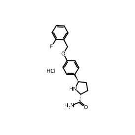 Cl.NC(=O)[C@H]1CC[C@H](c2ccc(OCc3ccccc3F)cc2)N1